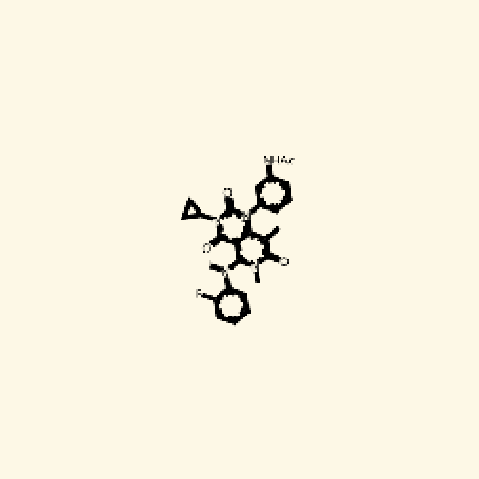 CC(=O)Nc1cccc(-n2c(=O)n(C3CC3)c(=O)c3c(N(I)c4ccccc4F)n(C)c(=O)c(C)c32)c1